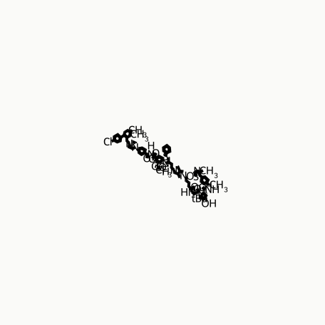 Cc1ncsc1-c1ccc([C@H](C)NC(=O)[C@@H]2C[C@@H](O)CN2C(=O)C(NC(=O)CCCC(=O)N2CC3CN(CCC(CSc4ccccc4)Nc4ccc(S(=O)(=O)NC(=O)c5ccc(N6CCN(CC7=C(c8ccc(Cl)cc8)CCC(C)(C)C7)CC6)cc5)cc4S(=O)(=O)C(F)(F)F)CC3C2)C(C)(C)C)cc1